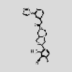 Cc1c(C2CN3CCN(C(=O)Cc4ccnc(-n5cnnn5)c4)CC3CO2)ccc(F)c1C#N